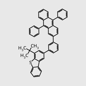 CC(C)(C)c1cc(-c2cccc(-c3ccc4c(-c5ccccc5)c5ccccc5c(-c5ccccc5)c4c3)c2)cc2c1sc1ccccc12